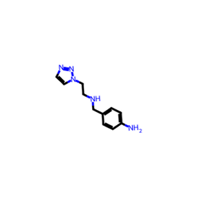 Nc1ccc(CNCCn2ccnn2)cc1